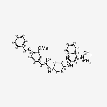 COc1cc(CC(=O)NC2CCC(Nc3cc(N(C)C)c4ccccc4n3)CC2)ccc1OCc1ccccc1